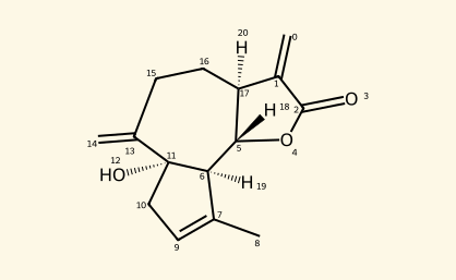 C=C1C(=O)O[C@@H]2[C@H]3C(C)=CC[C@@]3(O)C(=C)CC[C@@H]12